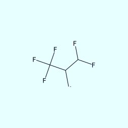 [CH2]C(C(F)F)C(F)(F)F